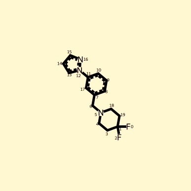 FC1(F)CCN(Cc2cccc(-n3cccn3)c2)CC1